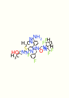 Cn1nc(N)c2cccc(-c3cc4sc(N5CC(C)(O)C5)nc4nc3[C@H](Cc3cc(F)cc(F)c3)NC(=O)Cn3nc(C(F)F)c4c3C(F)(F)[C@@H]3C=C[C@H]43)c21